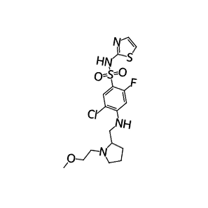 COCCN1CCCC1CNc1cc(F)c(S(=O)(=O)Nc2nccs2)cc1Cl